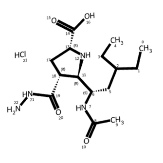 CCC(CC)C[C@H](NC(C)=O)[C@@H]1N[C@@H](C(=O)O)C[C@H]1C(=O)NN.Cl